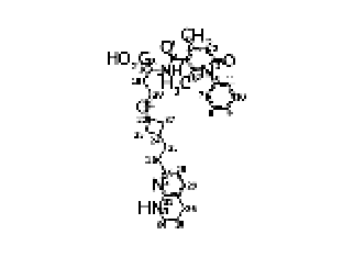 Cc1cc(=O)n(-c2ccccc2)c(C)c1C(=O)NC(CCOC1CC(CCc2ccc3c(n2)NCCC3)C1)C(=O)O